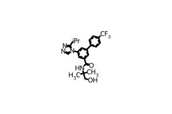 CC(C)c1nncn1-c1cc(C(=O)NC(C)(C)CO)cc(-c2ccc(C(F)(F)F)cc2)c1